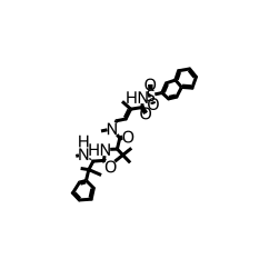 CN[C@H](C(=O)NC(C(=O)N(C)C/C=C(\C)C(=O)NS(=O)(=O)c1ccc2ccccc2c1)C(C)(C)C)C(C)(C)c1ccccc1